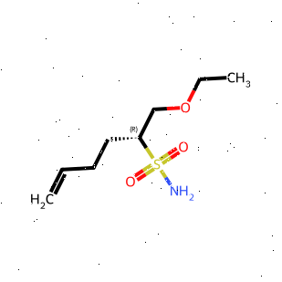 C=CCC[C@H](COCC)S(N)(=O)=O